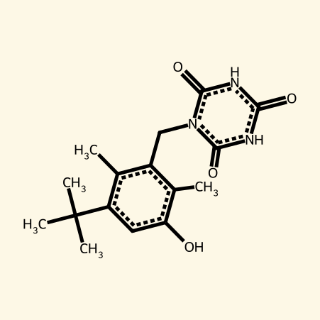 Cc1c(O)cc(C(C)(C)C)c(C)c1Cn1c(=O)[nH]c(=O)[nH]c1=O